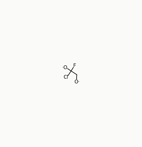 [O]CC([O])(F)Cl